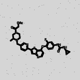 CC(=O)OCC(=O)N1CCN(Cc2ccc(-c3cc4nccc(Oc5ccc(NC(=O)NC6CC6)cc5F)c4s3)nc2)C(C)C1